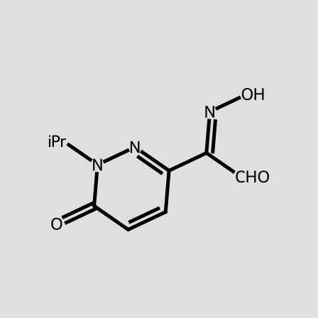 CC(C)n1nc(C(C=O)=NO)ccc1=O